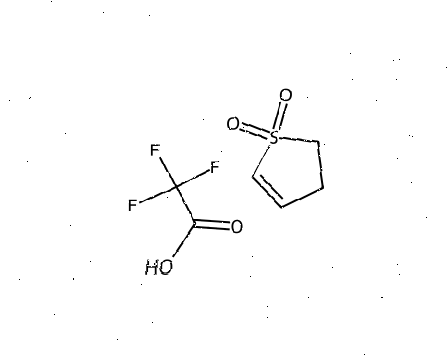 O=C(O)C(F)(F)F.O=S1(=O)C=CCC1